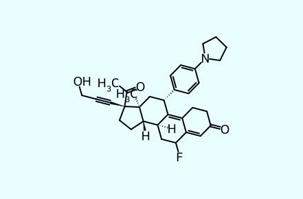 CC(=O)[C@@]1(C#CCO)CC[C@H]2[C@@H]3CC(F)C4=CC(=O)CCC4=C3[C@@H](c3ccc(N4CCCC4)cc3)C[C@@]21C